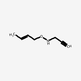 C#CCNOCC=CC